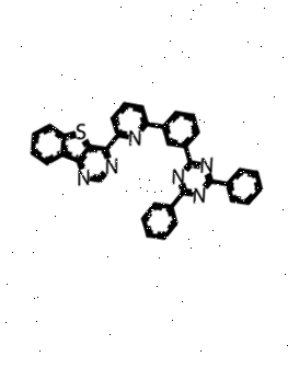 c1ccc(-c2nc(-c3ccccc3)nc(-c3cccc(-c4cccc(-c5ncnc6c5sc5ccccc56)n4)c3)n2)cc1